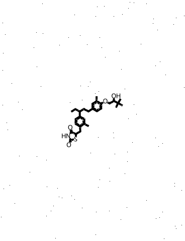 CCC(CCc1ccc(OCC(O)C(C)(C)C)c(C)c1)c1ccc(CC2SC(=O)NC2=O)c(C)c1